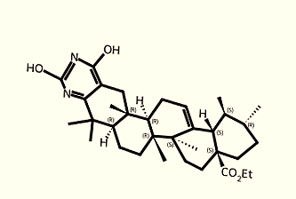 CCOC(=O)[C@]12CC[C@@H](C)[C@H](C)[C@H]1C1=CC[C@@H]3[C@@]4(C)Cc5c(O)nc(O)nc5C(C)(C)[C@@H]4CC[C@@]3(C)[C@]1(C)CC2